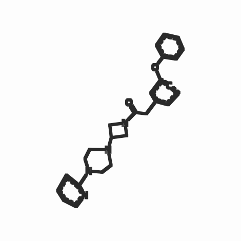 O=C(Cc1cccc(Oc2ccccc2)c1)N1CC(N2CCN(c3ccccn3)CC2)C1